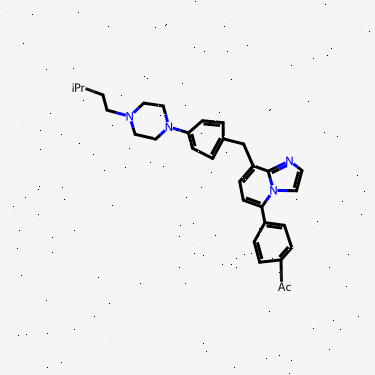 CC(=O)c1ccc(-c2ccc(Cc3ccc(N4CCN(CCC(C)C)CC4)cc3)c3nccn23)cc1